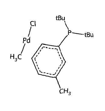 Cc1cccc(P(C(C)(C)C)C(C)(C)C)c1.[CH3][Pd][Cl]